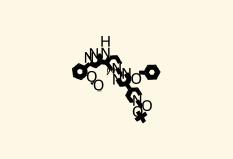 COCOc1ccccc1-c1cc2c3c([nH]c2nn1)CCN(c1ncc(C2=CCN(C(=O)OC(C)(C)C)CC2)c(OCc2ccccc2)n1)[C@@H]3C